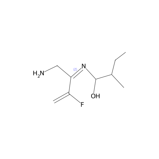 C=C(F)/C(CN)=N\C(O)C(C)CC